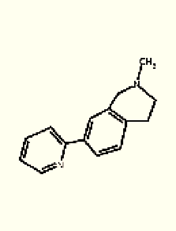 CN1CCc2ccc(-c3ccccn3)cc2C1